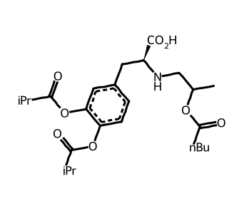 CCCCC(=O)OC(C)CN[C@@H](Cc1ccc(OC(=O)C(C)C)c(OC(=O)C(C)C)c1)C(=O)O